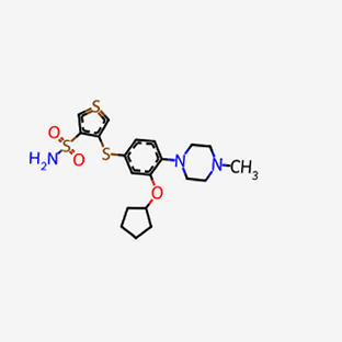 CN1CCN(c2ccc(Sc3cscc3S(N)(=O)=O)cc2OC2CCCC2)CC1